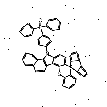 O=P(c1ccccc1)(c1ccccc1)c1ccc(-n2c3ccc4c(c3c3ccc5ccccc5c32)Sc2ccccc2C42c3ccccc3-c3ccccc32)cc1